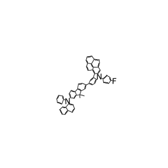 CC1(C)c2cc(-c3ccc4c(c3)c3c5ccc6cccc7ccc(cc3n4-c3ccc(F)cc3)c5c76)ccc2-c2ccc(N(c3ccccc3)c3cccc4ccccc34)cc21